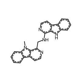 Cn1c2ccccc2c2ccnc(CNc3nccc4c3[nH]c3ccccc34)c21